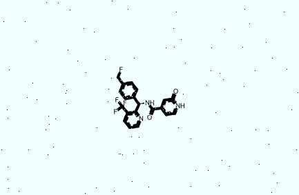 O=C(N[C@@H](c1ccc(CF)cc1)c1ncccc1C(F)(F)F)c1cc[nH]c(=O)c1